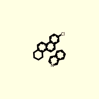 Clc1ccc2c(ccc3c4c(ccc32)CCCC4)c1.c1ccc2cnccc2c1